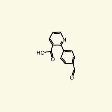 O=Cc1ccc(-c2ncccc2C(=O)O)cc1